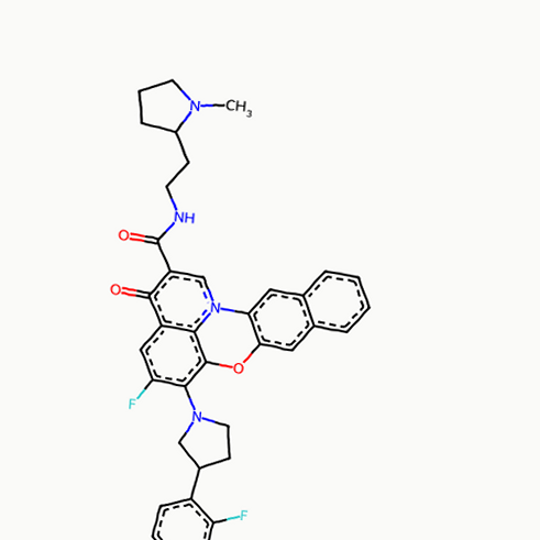 CN1CCCC1CCNC(=O)c1cn2c3c(c(N4CCC(c5ccccc5F)C4)c(F)cc3c1=O)Oc1cc3ccccc3cc1-2